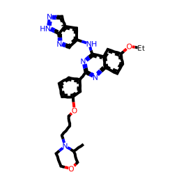 CCOc1ccc2nc(-c3cccc(OCCCN4CCOCC4C)c3)nc(Nc3cnc4[nH]ncc4c3)c2c1